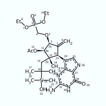 C=C1[C@H](OCP(=O)(OCC)OCC)[C@H](OC(C)=O)[C@@](C)(CC(C)(C)[Si](C)(C)O)[C@@H]1n1cnc2c(=O)[nH]c(N)nc21